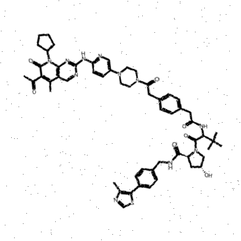 CC(=O)c1c(C)c2cnc(Nc3ccc(N4CCN(C(=O)Cc5ccc(CC(=O)NC(C(=O)N6C[C@H](O)C[C@H]6C(=O)NCc6ccc(-c7scnc7C)cc6)C(C)(C)C)cc5)CC4)cn3)nc2n(C2CCCC2)c1=O